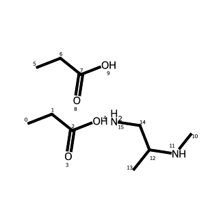 CCC(=O)O.CCC(=O)O.CNC(C)CN